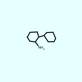 NC1C[CH]CCC1C1CCCCC1